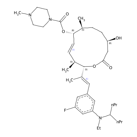 CCCC(CCC)N(CC)c1cc(F)cc(/C=C(\C)[C@H]2OC(=O)C[C@H](O)CC[C@H](C)[C@@H](OC(=O)N3CCN(C)CC3)/C=C/[C@@H]2C)c1